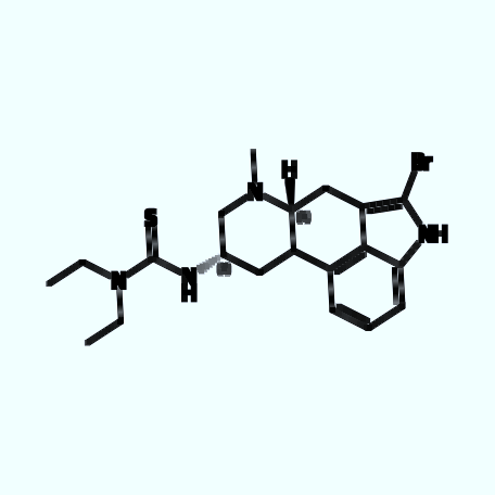 CCN(CC)C(=S)N[C@H]1CC2c3cccc4[nH]c(Br)c(c34)C[C@H]2N(C)C1